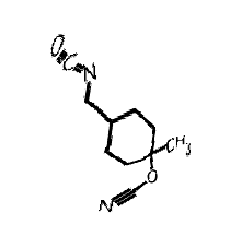 CC1(OC#N)CCC(CN=C=O)CC1